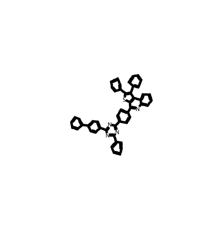 c1ccc(-c2ccc(-c3nc(-c4ccccc4)nc(-c4ccc(-c5nc6ccccc6c6c(-c7ccccc7)c(-c7ccccc7)sc56)cc4)n3)cc2)cc1